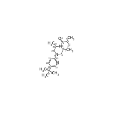 CC(F)C(=O)N1C(C)CN(c2ccc(C(C)(C)C)cn2)CC1C